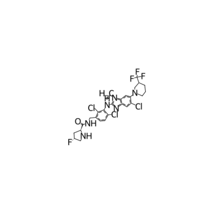 Cn1c(Nc2c(Cl)ccc(CNC(=O)[C@@H]3C[C@@H](F)CN3)c2Cl)nc2cc(Cl)c(N3CCCC(C(F)(F)F)C3)cc21